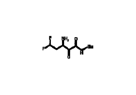 CC[C@H](C)NC(=O)C(=O)C(N)CC(F)F